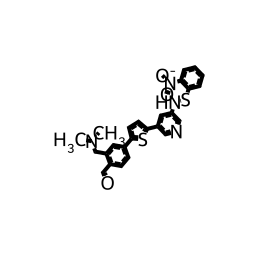 CN(C)Cc1cc(-c2ccc(-c3cncc(NSc4ccccc4[N+](=O)[O-])c3)s2)ccc1C=O